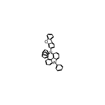 c1ccc(-c2cccc3c2c2c(N(c4ccccc4)c4ccc5c(c4)oc4ccccc45)cccc2n3-c2ccccc2)cc1